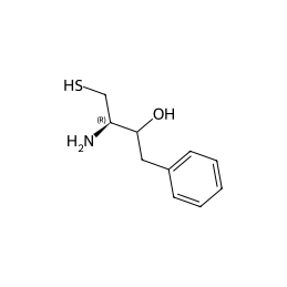 N[C@@H](CS)C(O)Cc1ccccc1